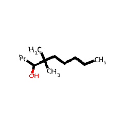 CCCCCC(C)(C)[CH](O)[Pr]